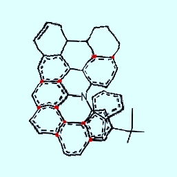 CC(C)(C)c1ccc(-c2ccccc2)c(N(c2ccccc2-c2cccc3c2C(C2CCCCC2)CC=C3)c2ccccc2-c2cccc3oc4ccccc4c23)c1